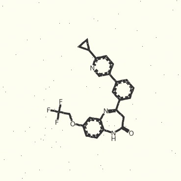 O=C1CC(c2cccc(-c3ccc(C4CC4)nc3)c2)=Nc2cc(OCC(F)(F)F)ccc2N1